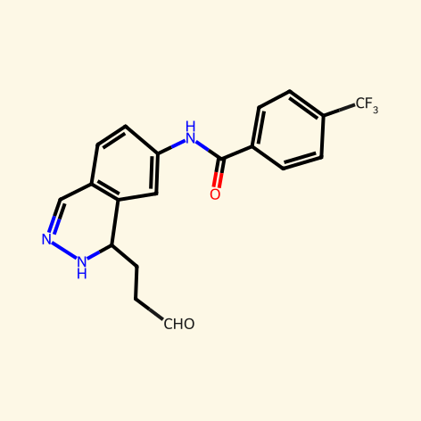 O=CCCC1NN=Cc2ccc(NC(=O)c3ccc(C(F)(F)F)cc3)cc21